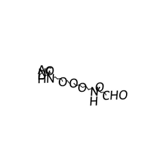 CC(=O)N1CCCC1C(=O)NCCCOCCOCCOCCCNC(=O)CCC=O